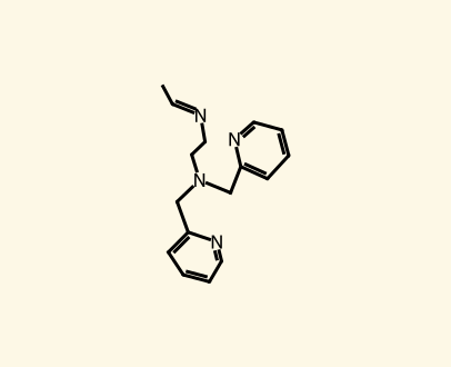 C/C=N/CCN(Cc1ccccn1)Cc1ccccn1